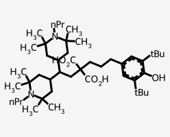 CCCN1C(C)(C)CC(C(CC(CCCc2cc(C(C)(C)C)c(O)c(C(C)(C)C)c2)(C(=O)O)C(=O)O)C2CC(C)(C)N(CCC)C(C)(C)C2)CC1(C)C